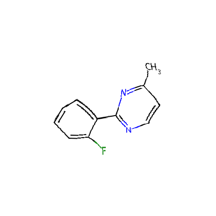 Cc1ccnc(-c2ccccc2F)n1